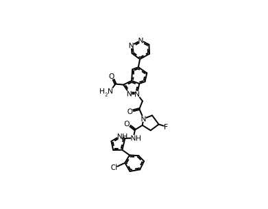 NC(=O)c1nn(CC(=O)N2CC(F)CC2C(=O)Nc2[nH]ccc2-c2ccccc2Cl)c2ccc(-c3ccnnc3)cc12